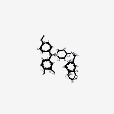 CCc1ccc(C(c2ccc(C)c(C)c2)N2CCC(/N=C\c3ccc4c(c3)OCO4)CC2)cc1